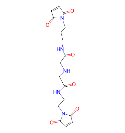 O=C(CNCC(=O)NCCN1C(=O)C=CC1=O)NCCCN1C(=O)C=CC1=O